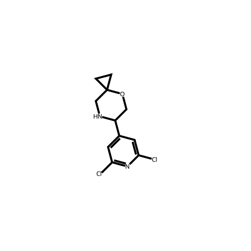 Clc1cc(C2COC3(CC3)CN2)cc(Cl)n1